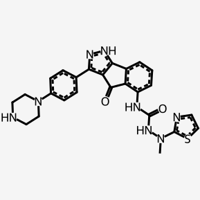 CN(NC(=O)Nc1cccc2c1C(=O)c1c(-c3ccc(N4CCNCC4)cc3)n[nH]c1-2)c1nccs1